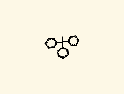 [C]C(c1ccccc1)(c1ccccc1)c1ccccc1